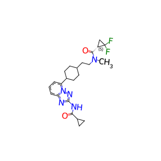 CN(CCC1CCC(c2cccc3nc(NC(=O)C4CC4)nn23)CC1)C(=O)[C@@H]1CC1(F)F